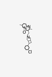 Cc1ccc2nc(C)c(CCN3CC4CC(c5cccc(Cl)c5)C4C3)c(=O)n2c1